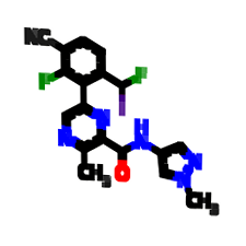 Cc1ncc(-c2c(C(F)I)ccc(C#N)c2F)nc1C(=O)Nc1cnn(C)c1